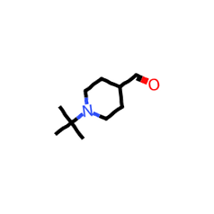 CC(C)(C)N1CCC(C=O)CC1